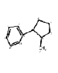 CC1CCC[C]1c1ccccc1